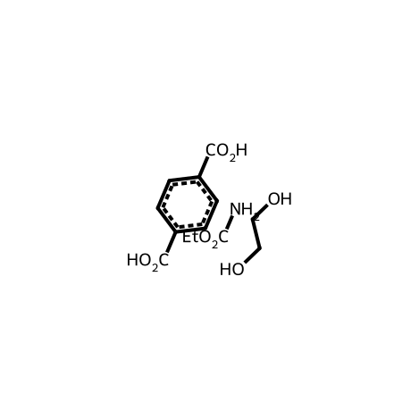 CCOC(N)=O.O=C(O)c1ccc(C(=O)O)cc1.OCCO